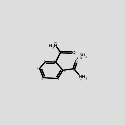 NC(=O)c1ccccc1C(N)=O.S